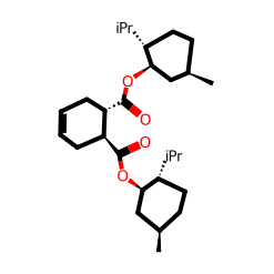 CC(C)[C@@H]1CC[C@@H](C)C[C@H]1OC(=O)[C@H]1CC=CC[C@@H]1C(=O)O[C@@H]1C[C@H](C)CC[C@H]1C(C)C